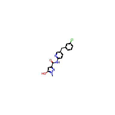 Cn1nc(C(=O)Nc2ccc(Cc3cccc(Cl)c3)cn2)cc1O